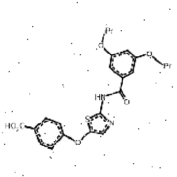 CC(C)Oc1cc(OC(C)C)cc(C(=O)Nc2ncc(Oc3ccc(C(=O)O)cc3)s2)c1